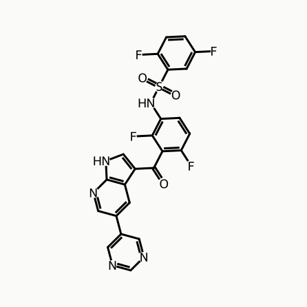 O=C(c1c(F)ccc(NS(=O)(=O)c2cc(F)ccc2F)c1F)c1c[nH]c2ncc(-c3cncnc3)cc12